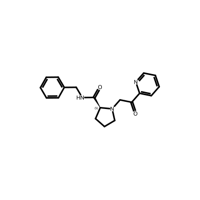 O=C(CN1CCC[C@H]1C(=O)NCc1ccccc1)c1ccccn1